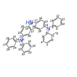 CC1C=CC=CC1N(c1ccccc1)c1ccc2[nH]c3ccc(N(c4ccccc4)c4ccccc4)cc3c2c1